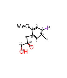 COc1cc(I)c(C)cc1CC(=O)CO